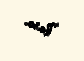 O=C(Nc1ccc(-n2c(C(F)(F)F)nc3cc(CO)ccc32)cc1)c1ccc(Cl)cc1